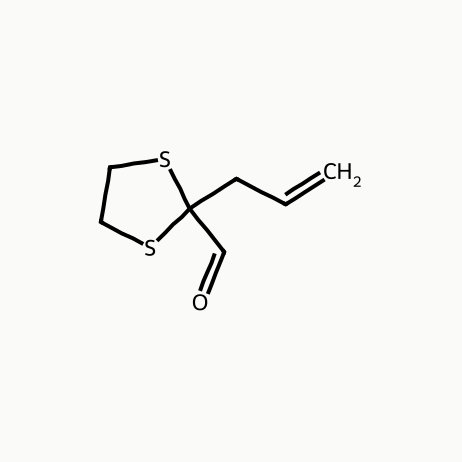 C=CCC1(C=O)SCCS1